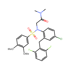 COc1ccc(S(=O)(=O)N(CC(=O)N(C)C)c2ccc(Cl)cc2Cc2c(F)cccc2F)cc1OC